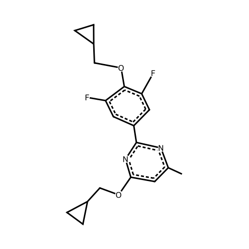 Cc1cc(OCC2CC2)nc(-c2cc(F)c(OCC3CC3)c(F)c2)n1